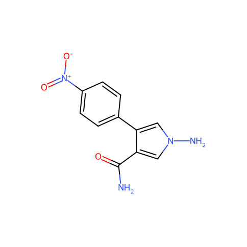 NC(=O)c1cn(N)cc1-c1ccc([N+](=O)[O-])cc1